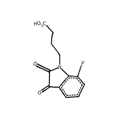 O=C(O)CCCN1C(=O)C(=O)c2cccc(F)c21